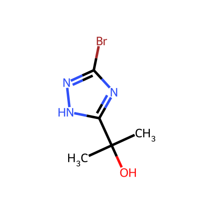 CC(C)(O)c1nc(Br)n[nH]1